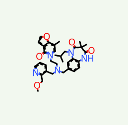 COCc1ncccc1CN(CCn1cc(C)c2occc2c1=O)Cc1ccc2c(c1)N(CC(C)C)C(=O)C(C)(C)C(=O)N2